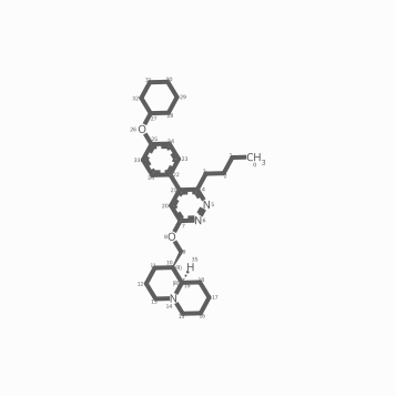 CCCCc1nnc(OC[C@@H]2CCCN3CCCC[C@H]23)cc1-c1ccc(OC2CCCCC2)cc1